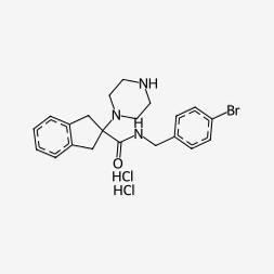 Cl.Cl.O=C(NCc1ccc(Br)cc1)C1(N2CCNCC2)Cc2ccccc2C1